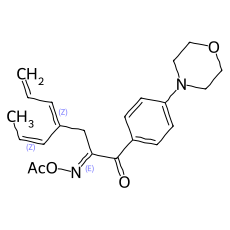 C=C/C=C(\C=C/C)C/C(=N\OC(C)=O)C(=O)c1ccc(N2CCOCC2)cc1